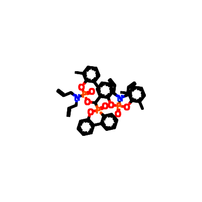 C=CCN(CC=C)P(=O)(Oc1ccccc1C(OP(=O)(Oc1c(C)cccc1C)N(CC=C)CC=C)P1(=O)Oc2ccccc2-c2ccccc21)Oc1c(C)cccc1C